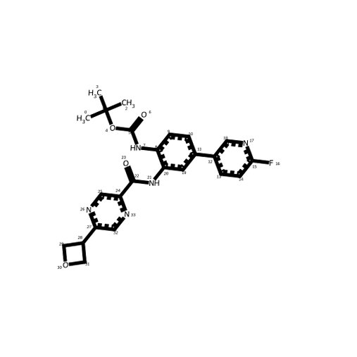 CC(C)(C)OC(=O)Nc1ccc(-c2ccc(F)nc2)cc1NC(=O)c1cnc(C2COC2)cn1